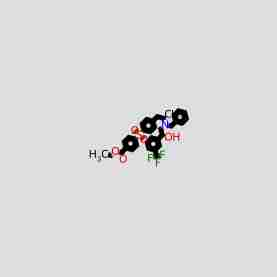 CCOC(=O)c1ccc(S(=O)(=O)c2ccc(C[C@@H](C)N(Cc3ccccc3)C[C@H](O)c3cccc(C(F)(F)F)c3)cc2)cc1